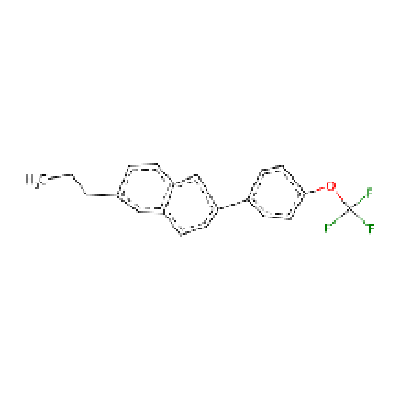 CCCc1ccc2cc(-c3ccc(OC(F)(F)F)cc3)ccc2c1